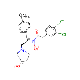 COc1ccc([C@H](CN2CC[C@H](O)C2)N(O)C(=O)Cc2ccc(Cl)c(Cl)c2)cc1